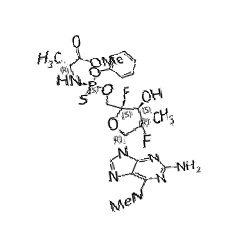 CNc1nc(N)nc2c1ncn2[C@@H]1O[C@](F)(CO[P@@](=S)(N[C@H](C)C(=O)OC)Oc2ccccc2)[C@@H](O)[C@@]1(C)F